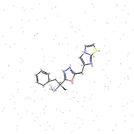 C[C@@]1(C[C@@](C)(N)c2nnc(Cc3cn4ccsc4n3)o2)C=CC=CC1